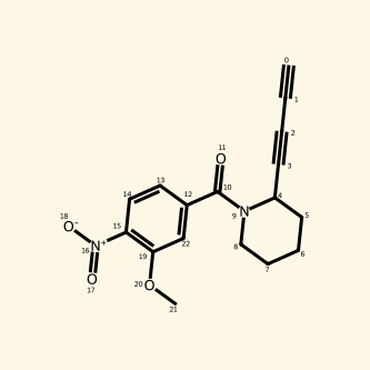 C#CC#CC1CCCCN1C(=O)c1ccc([N+](=O)[O-])c(OC)c1